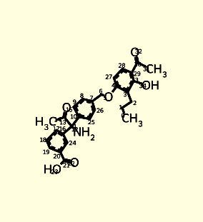 CCCc1c(OCc2ccc(C(N)(C(C)=O)c3cccc(C(=O)O)c3)cc2)ccc(C(C)=O)c1O